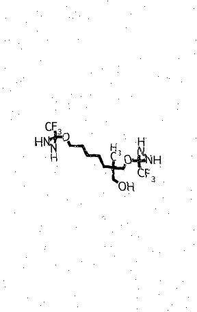 CC(CO)(CCCCCOC1(C(F)(F)F)NN1)COC1(C(F)(F)F)NN1